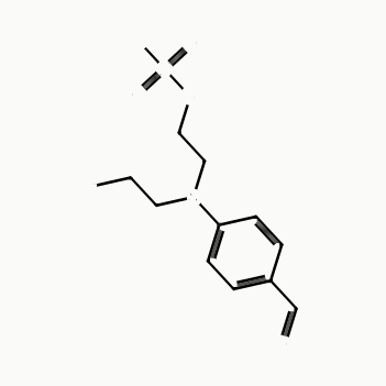 CS(=O)(=O)OCCN(CCCl)c1ccc([C]=O)cc1